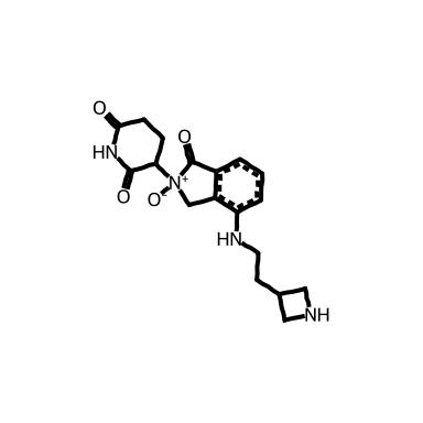 O=C1CCC([N+]2([O-])Cc3c(NCCC4CNC4)cccc3C2=O)C(=O)N1